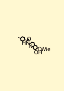 COc1cc2ccc(NC(=O)c3ccc(C)cc3)nc2cc1O